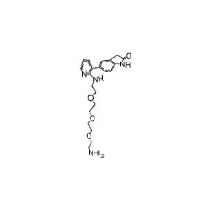 NCCOCCOCCOCCNc1ncccc1-c1ccc2c(c1)CC(=O)N2